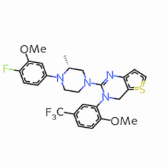 COc1cc(N2CCN(C3=Nc4ccsc4CN3c3cc(C(F)(F)F)ccc3OC)C[C@H]2C)ccc1F